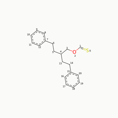 S=COCC(CCc1ccccc1)CCc1ccccc1